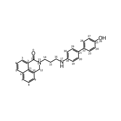 O=C1c2cccc3cccc(c23)CN1CCCNc1ccc(-c2ccc(O)cc2)cc1